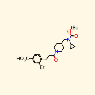 CCc1cc(C(=O)O)ccc1CCC(=O)N1CCC(CN(C(=O)OC(C)(C)C)C2CC2)CC1